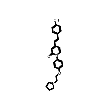 O=c1cc(/C=C/c2ccc(O)cc2)ccn1-c1ccc(OCCN2CCCC2)cc1